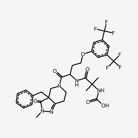 CN1N=C2CCN(C(=O)C(CCOc3cc(C(F)(F)F)cc(C(F)(F)F)c3)NC(=O)C(C)(C)NC(=O)O)CC2(Cc2ccccc2)C1=O